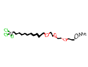 COCCOCCOCCOCCCCCCCCCCC[Si](Cl)(Cl)Cl